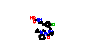 O=C(O)NCCCc1ccc(Cl)c(CNC2(C(=O)N3CCN(C4CC4)c4ccccc43)CC2)c1